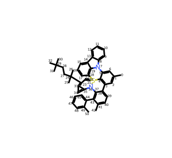 Cc1cc2c3c(c1)-n1c4ccccc4c4cccc(c41)S31C=CC(C(C)(C)CCC(C)(C)C)=C3C=C3N1c1c-2ccc(C)c1-c1ccccc1C